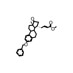 COC(=O)C=CC[C@H]1CC(=O)[C@@]2(C)CCC3c4ccc(OCc5ccccc5)cc4CCC3C12